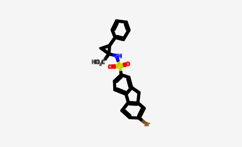 O=C(O)C1(NS(=O)(=O)c2ccc3c(c2)Cc2cc(Br)ccc2-3)CC1c1ccccc1